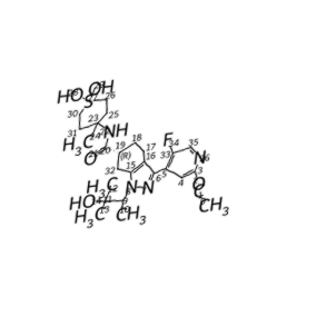 CCOc1cc(-c2nn(C(C)C(C)(C)O)c3c2CC[C@@H](C(=O)NC2(C)CCS(O)(O)CC2)C3)c(F)cn1